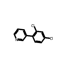 Clc1ccc(-c2c[c]cnc2)c(Cl)c1